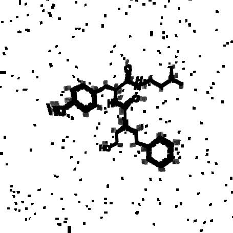 CN(C)CCNC(=O)[C@H](Cc1ccc(O)cc1)NC(=O)N(CCO)CCc1ccccc1